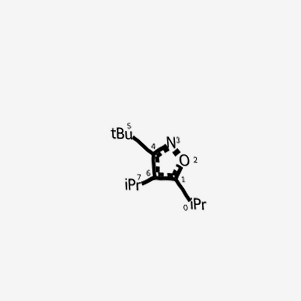 CC(C)c1onc(C(C)(C)C)c1C(C)C